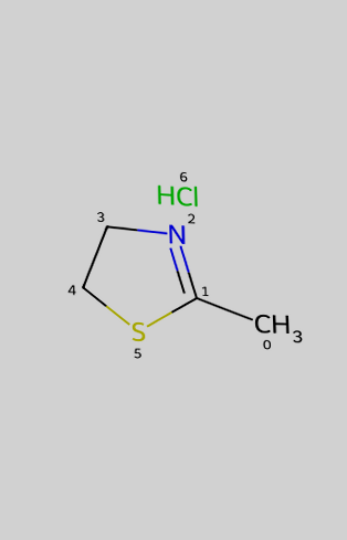 CC1=NCCS1.Cl